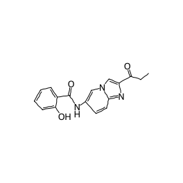 CCC(=O)c1cn2cc(NC(=O)c3ccccc3O)ccc2n1